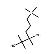 CC(C)(O)C(C)(O)CCC[Si](C)(C)C